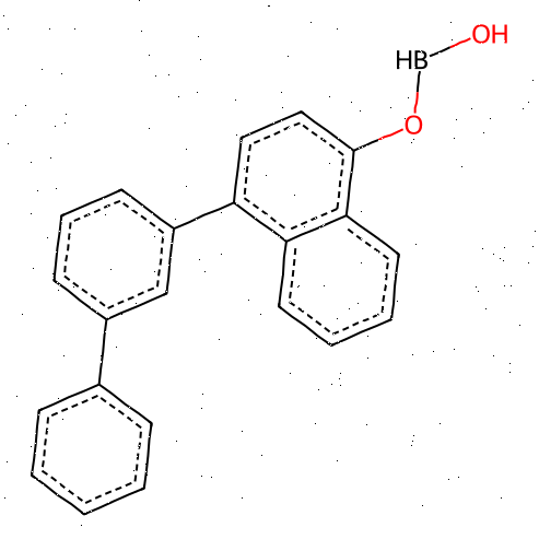 OBOc1ccc(-c2cccc(-c3ccccc3)c2)c2ccccc12